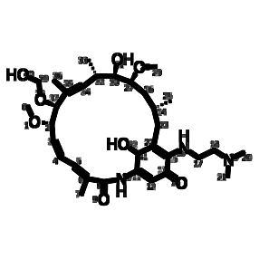 CO[C@H]1/C=C\C=C(/C)C(=O)NC2=CC(=O)C(NCCN(C)C)=C(C[C@@H](C)C[C@H](OC)[C@H](O)[C@@H](C)/C=C(\C)[C@@H]1OCO)C2O